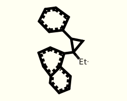 C[CH]C1(c2cccc3ccccc23)CC1c1ccccc1